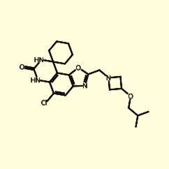 CC(C)COC1CN(Cc2nc3cc(Cl)c4c(c3o2)C2(CCCCC2)NC(=O)N4)C1